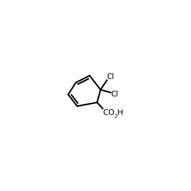 O=C(O)C1C=CC=CC1(Cl)Cl